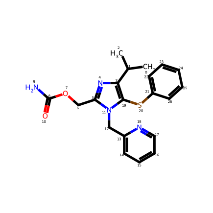 CC(C)c1nc(COC(N)=O)n(Cc2ccccn2)c1Sc1ccccc1